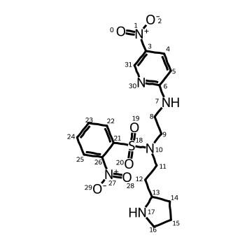 O=[N+]([O-])c1ccc(NCCN(CCC2CCCN2)S(=O)(=O)c2ccccc2[N+](=O)[O-])nc1